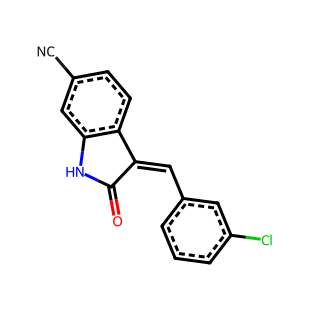 N#Cc1ccc2c(c1)NC(=O)C2=Cc1cccc(Cl)c1